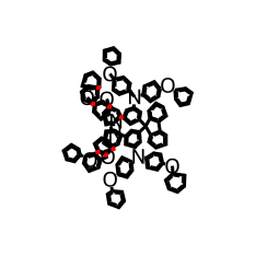 c1ccc(Oc2ccc(N(c3ccc(Oc4ccccc4)cc3)c3cc(N(c4ccc(Oc5ccccc5)cc4)c4ccc(Oc5ccccc5)cc4)cc(C4(c5cc(N(c6ccc(Oc7ccccc7)cc6)c6ccc(Oc7ccccc7)cc6)cc(N(c6ccc(Oc7ccccc7)cc6)c6ccc(Oc7ccccc7)cc6)c5)c5ccccc5-c5ccccc54)c3)cc2)cc1